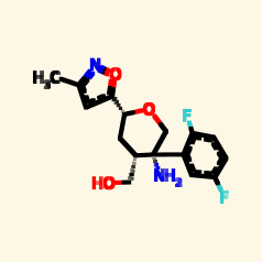 Cc1cc([C@H]2C[C@@H](CO)[C@](N)(c3cc(F)ccc3F)CO2)on1